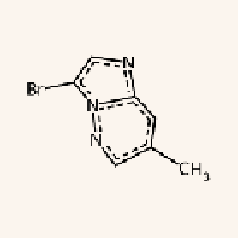 Cc1cnn2c(Br)cnc2c1